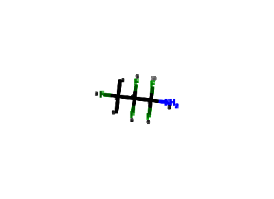 CC(C)(F)C(F)(F)C(N)(F)F